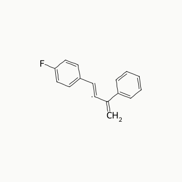 C=C([C]=Cc1ccc(F)cc1)c1ccccc1